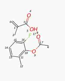 C=C(C)C(=O)O.CC(=O)Oc1c(C)cccc1F